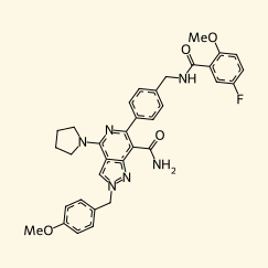 COc1ccc(Cn2cc3c(N4CCCC4)nc(-c4ccc(CNC(=O)c5cc(F)ccc5OC)cc4)c(C(N)=O)c3n2)cc1